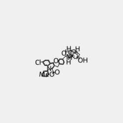 COC(=O)c1c(Cc2ccc(C(=O)N[C@@H]3[C@@H]4C[C@H]5C[C@H]3C[C@](O)(C5)C4)cc2)c(=O)c2ccc(Cl)cc2n1-c1ccccc1